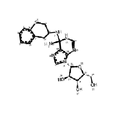 NC1(NC2CSc3ccccc3C2)NC=Nc2c1ncn2[C@@H]1O[C@H](CO)[C@@H](O)[C@H]1O